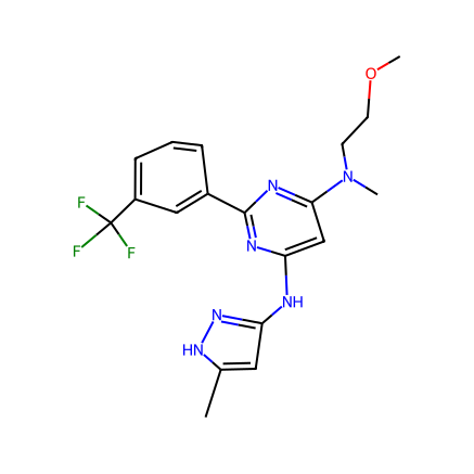 COCCN(C)c1cc(Nc2cc(C)[nH]n2)nc(-c2cccc(C(F)(F)F)c2)n1